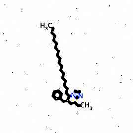 CCCCCCCCCCCCCCCCCCCC(C(CCCC)Cc1ccccc1)n1ccnc1